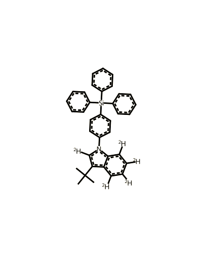 [2H]c1c([2H])c([2H])c2c(c1[2H])c(C(C)(C)C)c([2H])n2-c1ccc([Si](c2ccccc2)(c2ccccc2)c2ccccc2)cc1